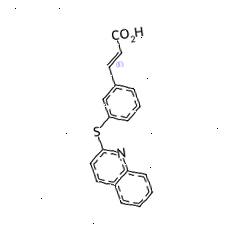 O=C(O)/C=C/c1cccc(Sc2ccc3ccccc3n2)c1